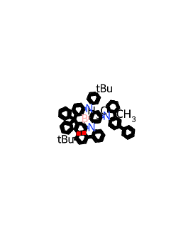 CC(C)(C)c1ccc(-c2ccccc2N2c3cc(N4c5ccc(-c6ccccc6)cc5C5(C)CCCCC45C)cc4c3B3c5c(cccc5C(c5ccccc5)(c5ccccc5)c5cccc2c53)N4c2ccc(C(C)(C)C)cc2)cc1